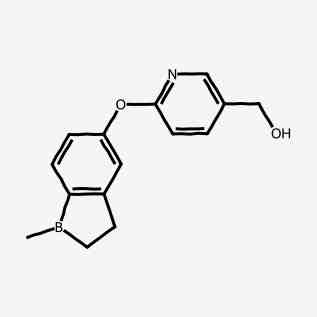 CB1CCc2cc(Oc3ccc(CO)cn3)ccc21